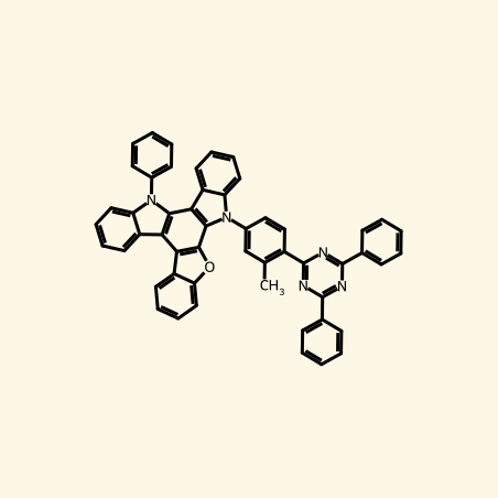 Cc1cc(-n2c3ccccc3c3c2c2oc4ccccc4c2c2c4ccccc4n(-c4ccccc4)c23)ccc1-c1nc(-c2ccccc2)nc(-c2ccccc2)n1